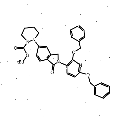 CC(C)(C)OC(=O)N1CCCCN1c1ccc2c(c1)CN(c1ccc(OCc3ccccc3)nc1OCc1ccccc1)C2=O